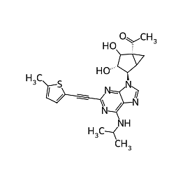 CC(=O)[C@]12CC1[C@@H](n1cnc3c(NC(C)C)nc(C#Cc4ccc(C)s4)nc31)[C@H](O)C2O